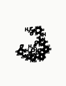 COc1nc(-c2cccc(-c3cccc(-c4cnc(CNC5CCCN(C(C)=O)C5)c(OC)n4)c3Cl)c2Cl)cnc1CNC[C@H]1CCC(=O)N1